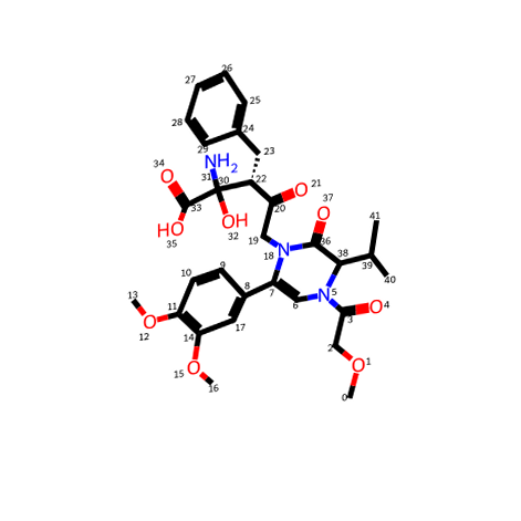 COCC(=O)N1C=C(c2ccc(OC)c(OC)c2)N(CC(=O)[C@@H](Cc2ccccc2)C(N)(O)C(=O)O)C(=O)C1C(C)C